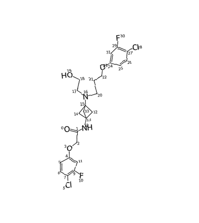 O=C(COc1ccc(Cl)c(F)c1)NC12CC(N(CCO)CCCOc3ccc(Cl)c(F)c3)(C1)C2